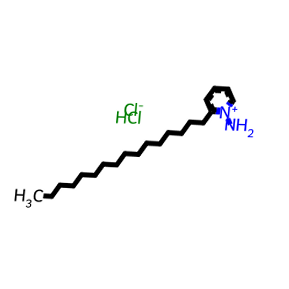 CCCCCCCCCCCCCCCCc1cccc[n+]1N.Cl.[Cl-]